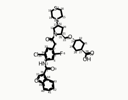 O=C(Nc1cc(F)c(CC(=O)N2C[C@@H](N3CCSCC3)C[C@H]2CO[C@H]2CC[C@H](C(=O)O)CC2)cc1Cl)c1coc2ccccc12